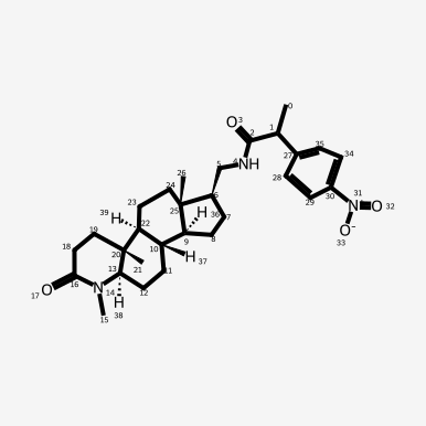 CC(C(=O)NC[C@H]1CC[C@H]2[C@@H]3CC[C@H]4N(C)C(=O)CC[C@]4(C)[C@H]3CC[C@]12C)c1ccc([N+](=O)[O-])cc1